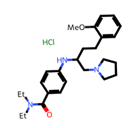 CCN(CC)C(=O)c1ccc(NC(CCc2ccccc2OC)CN2CCCC2)cc1.Cl